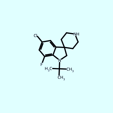 CC(C)(C)N1CC2(CCNCC2)c2cc(Cl)cc(F)c21